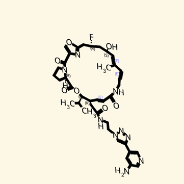 CC1=C\[C@@H](O)C[C@@H](F)Cc2nc(co2)C(=O)N2CCC[C@@H]2C(=O)O[C@H](C(C)C)[C@H](CC(=O)NCCn2cc(-c3cncc(N)c3)nn2)/C=C/C(=O)NC\C=C\1